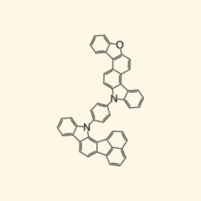 c1cc2c3c(cccc3c1)-c1c-2ccc2c3ccccc3n(-c3ccc(-n4c5ccccc5c5c6ccc7oc8ccccc8c7c6ccc54)cc3)c12